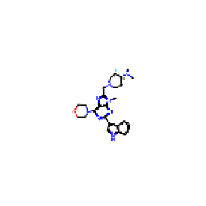 CN(C)[C@H]1CCN(Cc2nc3c(N4CCOCC4)nc(-c4c[nH]c5ccccc45)nc3n2C)C[C@H]1F